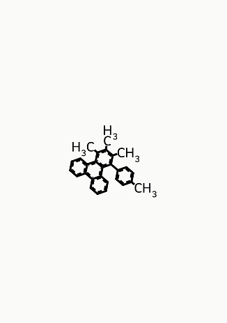 Cc1ccc(-c2c(C)c(C)c(C)c3c4ccccc4c4ccccc4c23)cc1